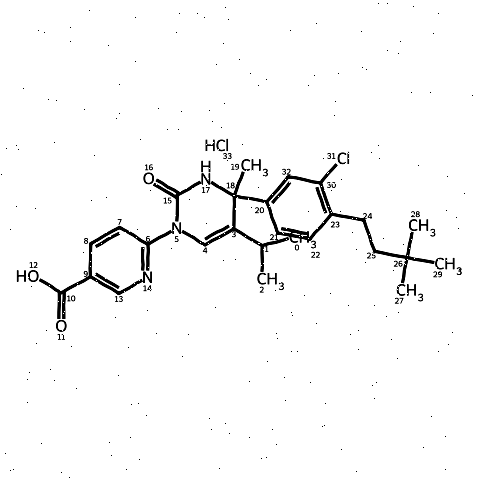 CC(C)C1=CN(c2ccc(C(=O)O)cn2)C(=O)NC1(C)c1ccc(CCC(C)(C)C)c(Cl)c1.Cl